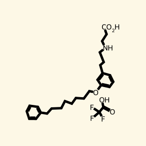 O=C(O)C(F)(F)F.O=C(O)CCNCCCc1cccc(OCCCCCCCCc2ccccc2)c1